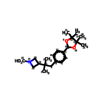 CC(C)(Cc1ccc(B2OC(C)(C)C(C)(C)O2)cc1)C1CN(C(=O)O)C1